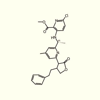 COC(=O)c1nc(Cl)ccc1N[C@H](C)c1cc(C)cc(C2C(=O)OCC2CCc2ccccc2)n1